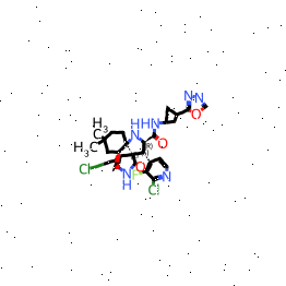 CC1(C)CCC2(CC1)N[C@@H](C(=O)NC1CC(c3nnco3)C1)[C@H](c1ccnc(Cl)c1F)[C@]21C(=O)Nc2cc(Cl)ccc21